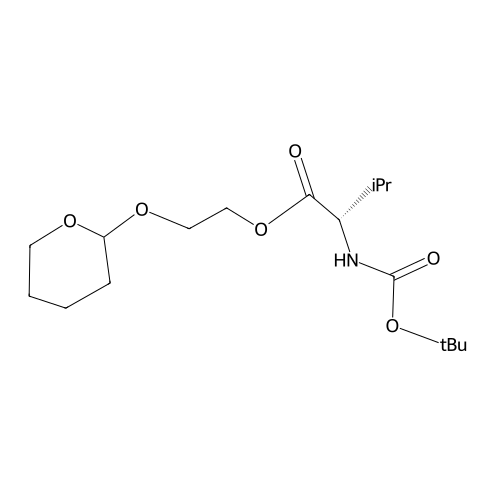 CC(C)[C@H](NC(=O)OC(C)(C)C)C(=O)OCCOC1CCCCO1